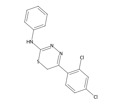 Clc1ccc(C2=NN=C(Nc3ccccc3)SC2)c(Cl)c1